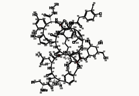 CCNNC(=O)[C@@H]1NC(=O)[C@H]2NC(=O)[C@H](NC(=O)[C@@H]3NC(=O)[C@H](CC(N)=O)NC(=O)[C@H](NC(=O)[C@@H](CC(C)C)NC)[C@H](O)c4ccc(c(Cl)c4)Oc4cc3cc(c4O[C@@H]3O[C@H](CO)[C@@H](O)[C@H](O)[C@H]3O[C@H]3C[C@](C)(NCCn4ccc(NC(=O)Cc5ccc(Cl)c(F)c5)nc4=O)[C@H](O)[C@H](C)O3)Oc3ccc(cc3Cl)[C@H]2O)c2ccc(O)c(c2)-c2c(O)cc(O)cc21